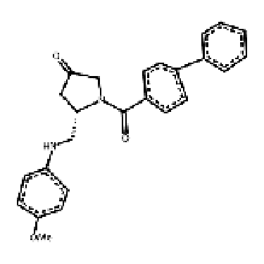 COc1ccc(NC[C@@H]2CC(=O)CN2C(=O)c2ccc(-c3ccccc3)cc2)cc1